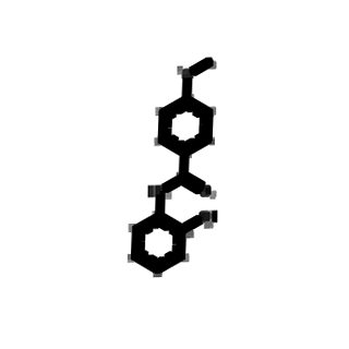 COc1ccc(C(=O)Nc2ccccc2O)cc1